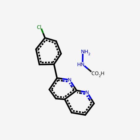 Clc1ccc(-c2ccc3cccnc3n2)cc1.NNC(=O)O